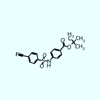 CC(C)(C)OC(=O)c1ccc(NS(=O)(=O)c2ccc(C#N)cc2)cc1